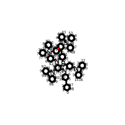 c1ccc(-c2ccc(N3c4cc(-n5c6ccccc6c6ccccc65)ccc4B4c5ccc(-c6cccc([Si](c7ccccc7)(c7ccccc7)c7ccccc7)c6)cc5N(c5cccc([Si](c6ccccc6)(c6ccccc6)c6ccccc6)c5)c5cc(-n6c7ccccc7c7ccccc76)cc3c54)cc2)cc1